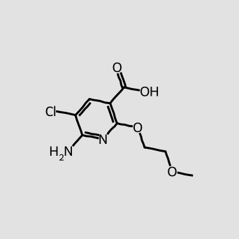 COCCOc1nc(N)c(Cl)cc1C(=O)O